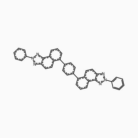 C1=C=CC(n2nc3ccc4c(-c5ccc(-c6cccc7c6ccc6nn(-c8ccccc8)nc67)cc5)cccc4c3n2)=CC=1